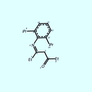 CCC(=O)C/C(CC)=N\c1c(C(C)C)cccc1C(C)C